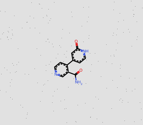 NC(=O)c1cnccc1-c1cc[nH]c(=O)c1